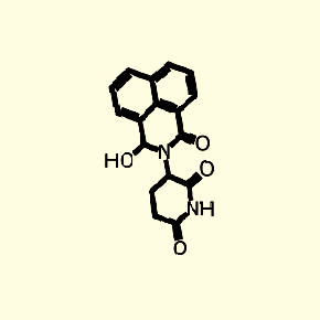 O=C1CCC(N2C(=O)c3cccc4cccc(c34)C2O)C(=O)N1